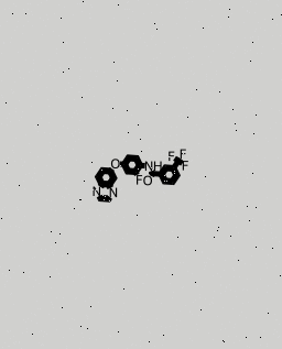 O=C(Nc1ccc(Oc2ccc3nccnc3c2)cc1F)c1cccc(C(F)(F)F)c1